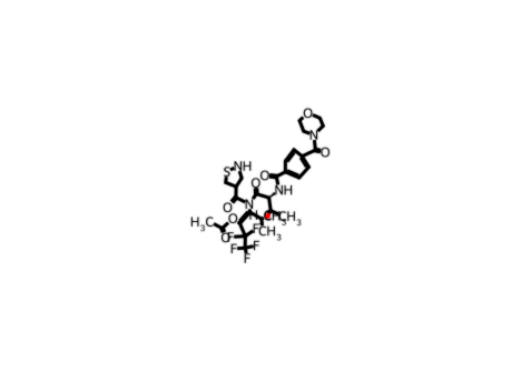 CC(=O)O/C(=C(/C(C)C)N(C(=O)C1CNSC1)C(=O)[C@@H](NC(=O)c1ccc(C(=O)N2CCOCC2)cc1)C(C)C)C(F)(F)C(F)(F)F